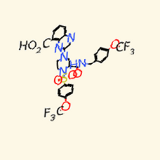 O=C(O)c1cccc2ncc(N3CCN(S(=O)(=O)c4ccc(OC(F)(F)F)cc4)C(C(=O)NCc4ccc(OC(F)(F)F)cc4)C3)nc12